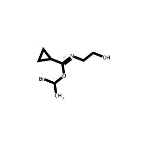 CC(Br)O/C(=N\CCO)C1CC1